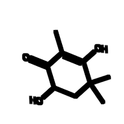 CC1=C(O)C(C)(C)CC(O)C1=O